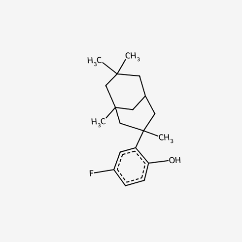 CC1(C)CC2CC(C)(C1)CC(C)(c1cc(F)ccc1O)C2